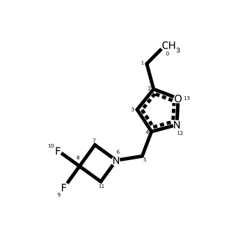 CCc1cc(CN2CC(F)(F)C2)no1